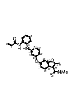 C=CC(=O)Nc1ccccc1Nc1cc(Oc2ccc3c(C(=S)NC)c(C)oc3c2)ccn1